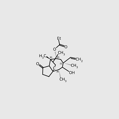 C=C[C@]1(C)C[C@@H](OC(=O)CC)[C@]2(C)C(C)CCC3(CCC(=O)C32)[C@@H](C)C1O